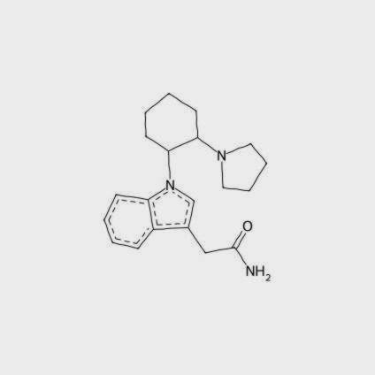 NC(=O)Cc1cn(C2CCCCC2N2CCCC2)c2ccccc12